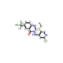 CCSc1cnc(Cl)cc1Nn1cnc2ccc(C(F)(F)F)cc2c1=O